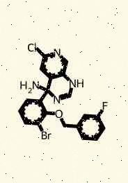 NC1(c2cccc(Br)c2OCc2cccc(F)c2)N=CNc2cnc(Cl)cc21